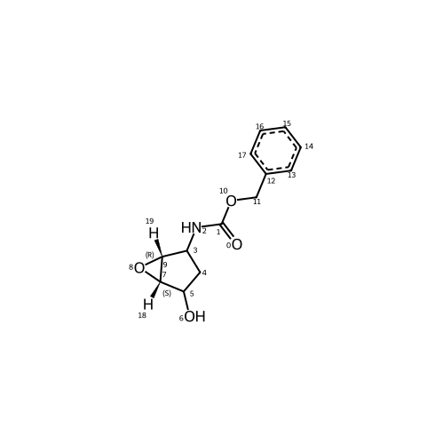 O=C(NC1CC(O)[C@@H]2O[C@H]12)OCc1ccccc1